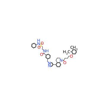 Cc1cccc(OCCCC(=O)N2CCCc3c(-c4cnn(Cc5cccc(C(=O)NCCS(=O)(=O)Nc6ccccc6)c5)c4)cccc32)c1C